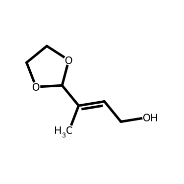 CC(=CCO)C1OCCO1